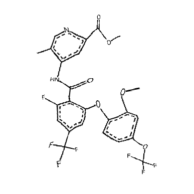 COC(=O)c1cc(NC(=O)c2c(F)cc(C(F)(F)F)cc2Oc2ccc(OC(F)(F)F)cc2OC)c(C)cn1